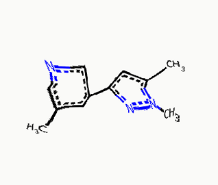 Cc1cncc(-c2cc(C)n(C)n2)c1